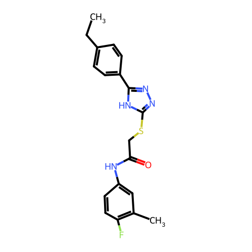 CCc1ccc(-c2nnc(SCC(=O)Nc3ccc(F)c(C)c3)[nH]2)cc1